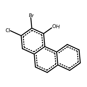 Oc1c(Br)c(Cl)cc2ccc3ccccc3c12